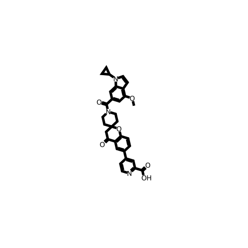 COc1cc(C(=O)N2CCC3(CC2)CC(=O)c2cc(-c4ccnc(C(=O)O)c4)ccc2O3)cc2c1ccn2C1CC1